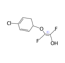 O/C(F)=C(\F)OC1C=CC(Cl)=CC1